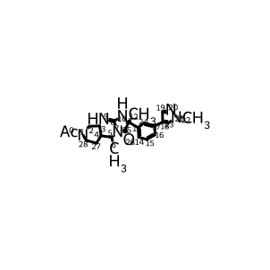 CC(=O)N1CCC(C(C)N2C(=N)NC(C)(c3cccc(-c4cnn(C)c4)c3)C2=O)CC1